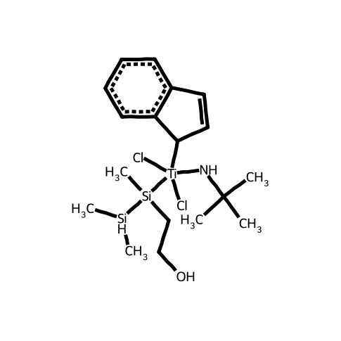 C[SiH](C)[Si](C)(CCO)[Ti]([Cl])([Cl])([NH]C(C)(C)C)[CH]1C=Cc2ccccc21